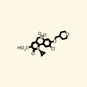 O=C(O)c1cc2c(n(C3CC3)c1=O)-c1cc(Cl)c(OCC3CCOCC3)cc1S(=O)(=O)C2